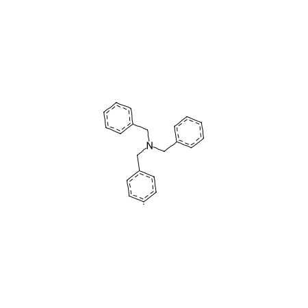 [c]1ccc(CN(Cc2ccccc2)Cc2ccccc2)cc1